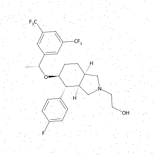 C[C@@H](O[C@H]1CC[C@H]2CN(CCO)C[C@H]2[C@@H]1c1ccc(F)cc1)c1cc(C(F)(F)F)cc(C(F)(F)F)c1